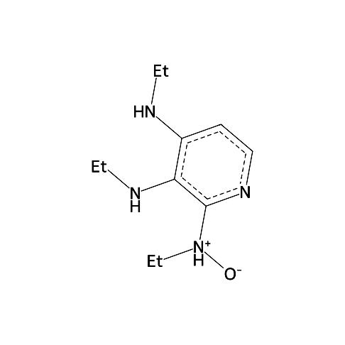 CCNc1ccnc([NH+]([O-])CC)c1NCC